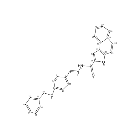 O=C(NN=Cc1ccc(OCc2ccccc2)cc1)c1cc2c(ccc3ccccc32)o1